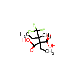 CCC(C(=O)O)(C(=O)O)C(C)(CC)C(F)(F)F